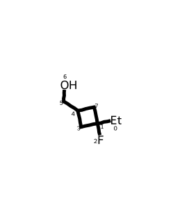 CCC1(F)CC(CO)C1